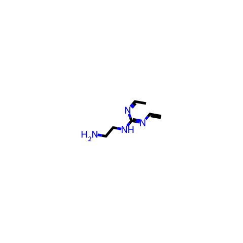 C=C/N=C(\N=C/C)NCCN